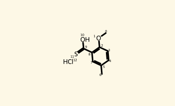 COc1ccc(C)cc1C(O)=S.Cl